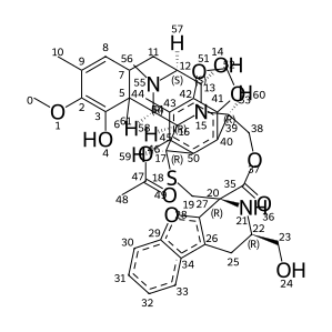 COC1=C(O)C2(C)C(C=C1C)C[C@H]1[C@H](O)N3[C@@H]([C@@H]4SC[C@]5(N[C@@H](CO)Cc6c5oc5ccccc65)C(=O)OC[C@H]3c3c5c(c(C)c(OC(C)=O)c34)OCO5)[C@@H]2N1C